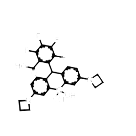 O=C(O)c1c(F)c(F)c(F)c(F)c1C1c2ccc(N3CCC3)cc2S(O)(O)c2cc(N3CCC3)ccc21